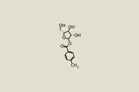 Cc1ccc(C(=O)OC2O[C@H](CO)[C@@H](O)[C@@H]2O)cc1